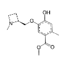 COC(=O)c1cc(OC[C@@H]2CCN2C)c(O)cc1C